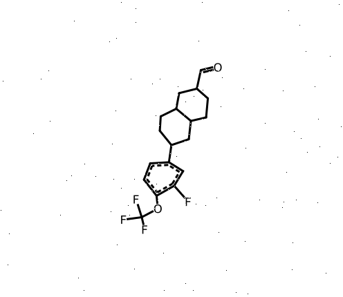 O=CC1CCC2CC(c3ccc(OC(F)(F)F)c(F)c3)CCC2C1